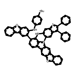 CC(C)(C)c1ccc(Nc2cc3oc4ccccc4c3cc2-c2ccc3c4cc5oc6ccccc6c5cc4n4c3c2Bc2cc3sc(-c5ccccc5)c(-c5ccccc5)c3cc2-4)cc1